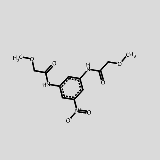 COCC(=O)Nc1cc(NC(=O)COC)cc([N+](=O)[O-])c1